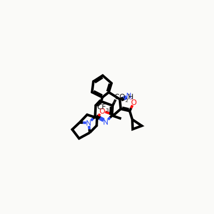 Cc1nc(N2C3CCC2CC(OCc2c(-c4ccccc4C(F)(F)F)noc2C2CC2)C3)ccc1C(=O)O